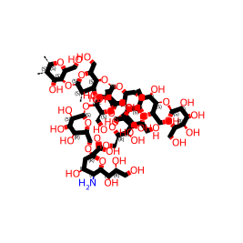 CC1C(O)[C@H](O[C@@H]2OC(CO[C@]3(C(=O)O)C[C@@H](O)[C@@H](N)C([C@H](O)[C@H](O)CO)O3)[C@H](O)C(O)[C@@H]2O)[C@H](CO)O[C@H]1O[C@@H]1C(O)[C@H](O)C(CO)O[C@@H]1OCC1O[C@@H](O[C@@H]2C(CO)O[C@@H](O[C@@H]3C(CO)O[C@@H](C)[C@@H](C)C3O)[C@@H](C)C2O)[C@H](O)C(O[C@H]2O[C@H](CO)[C@@H](O)C(O)C2O[C@@H]2OC(CO)[C@@H](O[C@@H]3OC(CO)[C@H](O)C(O)[C@@H]3O)[C@H](O)C2C)[C@@H]1O